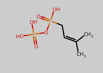 CC(C)=CCP(=O)(O)OP(=O)(O)O